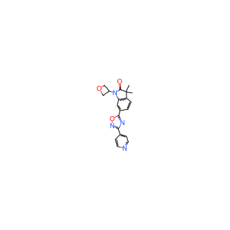 CC1(C)C(=O)N(C2COC2)c2cc(-c3nc(-c4ccncc4)no3)ccc21